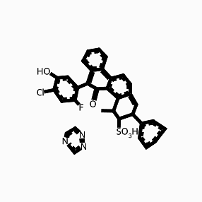 CC1c2c3c(ccc2=CC(c2ccccc2)C1S(=O)(=O)O)=c1ccccc1=C(c1cc(O)c(Cl)cc1F)C3=O.c1cnncn1